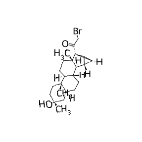 C[C@@]1(O)CC[C@@]2(C)[C@@H](CC[C@H]3[C@@H]4[C@@H]5C6[C@@H]5[C@@]6(C(=O)CBr)[C@@]4(C)CC[C@@H]32)C1